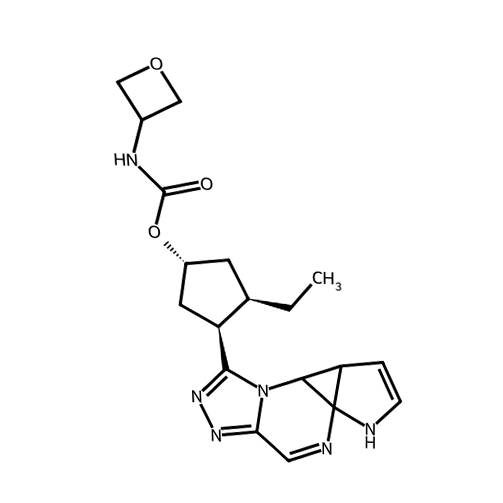 CC[C@@H]1C[C@@H](OC(=O)NC2COC2)C[C@@H]1c1nnc2n1C1C3C=CNC31N=C2